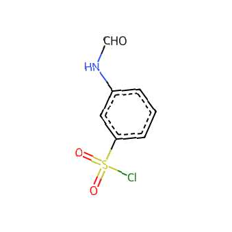 O=CNc1cccc(S(=O)(=O)Cl)c1